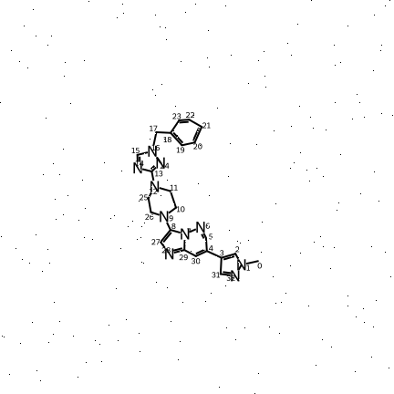 Cn1cc(-c2cnn3c(N4CCN(c5ncn(Cc6ccccc6)n5)CC4)cnc3c2)cn1